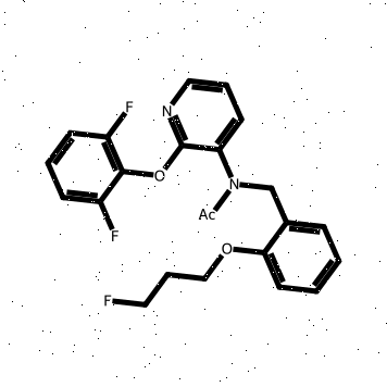 CC(=O)N(Cc1ccccc1OCCCF)c1cccnc1Oc1c(F)cccc1F